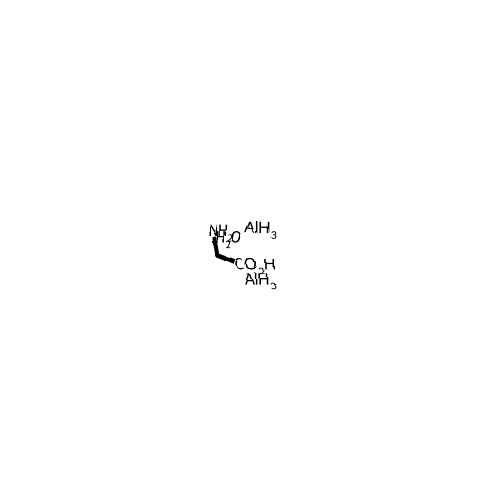 NCC(=O)O.O.[AlH3].[AlH3]